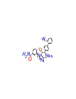 CN(C)Cc1ccccc1-c1ccc(C2NCc3ncn(-c4cccc(C(N)=O)c4)c3C2=O)cc1